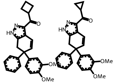 COc1ccc(C2(c3ccccc3)C=Cc3c(C(=O)C4CC4)n[nH]c3C2)cc1OC.COc1ccc(C2(c3ccccc3)C=Cc3c(C(=O)C4CCC4)n[nH]c3C2)cc1OC